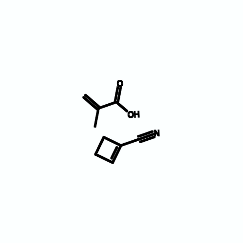 C=C(C)C(=O)O.N#CC1=CCC1